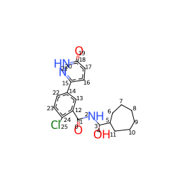 O=C(NC(O)C1CCCCCC1)c1cc(-c2ccc(=O)[nH]n2)ccc1Cl